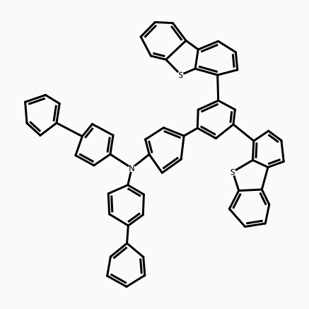 c1ccc(-c2ccc(N(c3ccc(-c4ccccc4)cc3)c3ccc(-c4cc(-c5cccc6c5sc5ccccc56)cc(-c5cccc6c5sc5ccccc56)c4)cc3)cc2)cc1